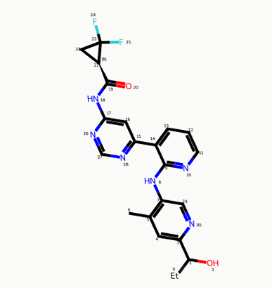 CCC(O)c1cc(C)c(Nc2ncccc2-c2cc(NC(=O)[C@H]3CC3(F)F)ncn2)cn1